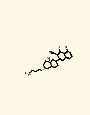 CCCCC[C@@H]1CC[C@@H]2CC(c3cc4cccc(F)c4c(F)c3C#N)CCC2C1